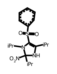 CC(C)C1=C(S(=O)(=O)c2ccccc2)N(C(C)C)C(C(C)C)([N+](=O)[O-])N1